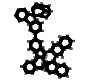 c1ccc2c(c1)-c1cc(-c3ccc4c5c6ccccc6ccc5n(-c5nc6ccccc6nc5-c5cccc6ccccc56)c4c3)ccc1C21C2CC3CC(C2)CC1C3